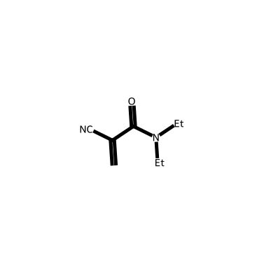 C=C(C#N)C(=O)N(CC)CC